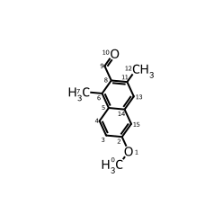 COc1ccc2c(C)c(C=O)c(C)cc2c1